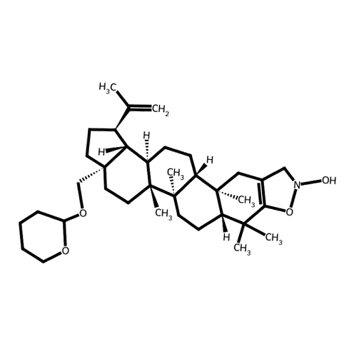 C=C(C)[C@@H]1CC[C@]2(COC3CCCCO3)CC[C@]3(C)[C@H](CC[C@@H]4[C@@]5(C)CC6=C(ON(O)C6)C(C)(C)[C@@H]5CC[C@]43C)[C@@H]12